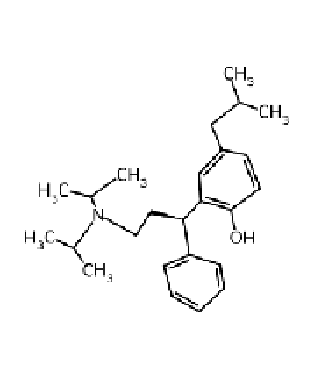 CC(C)Cc1ccc(O)c([C@H](CCN(C(C)C)C(C)C)c2ccccc2)c1